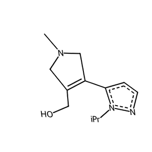 CC(C)n1nccc1C1=C(CO)CN(C)C1